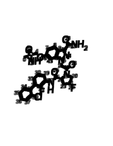 CS(=N)(=O)COc1ccc2c(C(N)=O)nn(CC(=O)N3C[C@H](F)C[C@H]3C(=O)Nc3cccc(-c4ccccc4Cl)c3F)c2c1